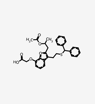 CC(=O)OC(C)Cc1oc2c(OCC(=O)O)cccc2c1CCSC(c1ccccc1)c1ccccc1